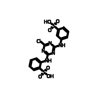 O=S(=O)(O)c1[c]ccc(Nc2nc(Cl)nc(Nc3ccccc3S(=O)(=O)O)n2)c1